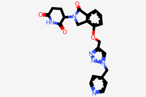 O=C1CCC(N2Cc3c(OCc4cn(Cc5ccncc5)nn4)cccc3C2=O)C(=O)N1